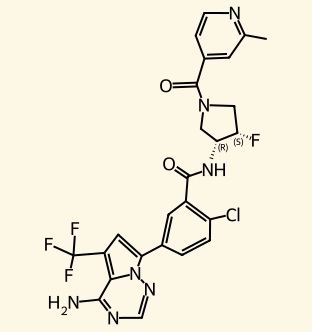 Cc1cc(C(=O)N2C[C@H](F)[C@H](NC(=O)c3cc(-c4cc(C(F)(F)F)c5c(N)ncnn45)ccc3Cl)C2)ccn1